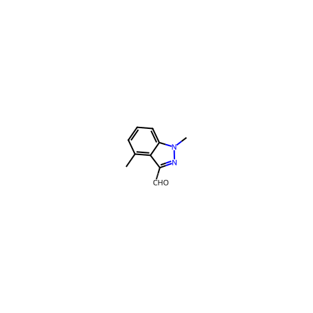 Cc1cccc2c1c(C=O)nn2C